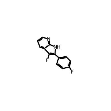 Fc1ccc(-c2[nH]c3ncccc3c2F)cc1